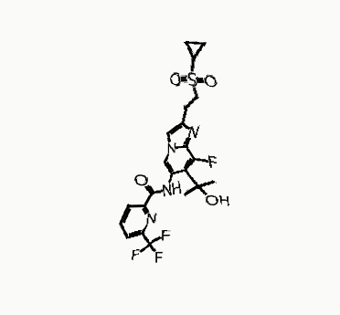 CC(C)(O)c1c(NC(=O)c2cccc(C(F)(F)F)n2)cn2cc(CCS(=O)(=O)C3CC3)nc2c1F